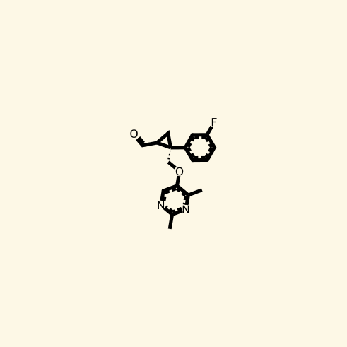 Cc1ncc(OC[C@@]2(c3cccc(F)c3)CC2C=O)c(C)n1